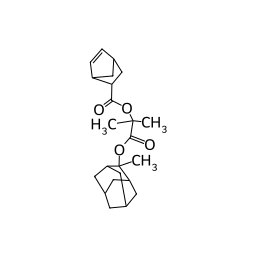 CC(C)(OC(=O)C1CC2C=CC1C2)C(=O)OC1(C)C2CC3CC(C2)CC1C3